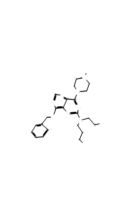 CCCCN(CCO)c1nc(N2CC[S+]([O-])CC2)c2ncnc(SCc3ccccc3)c2n1